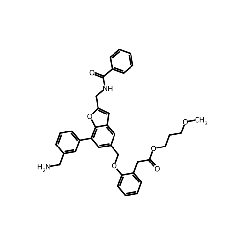 COCCCOC(=O)Cc1ccccc1OCc1cc(-c2cccc(CN)c2)c2oc(CNC(=O)c3ccccc3)cc2c1